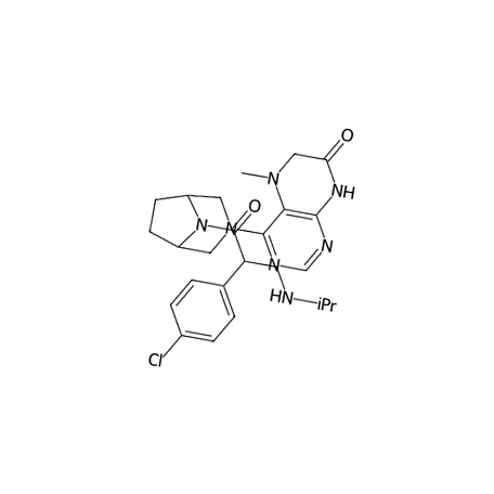 CC(C)NCC(C(=O)N1C2CCC1CN(c1ncnc3c1N(C)CC(=O)N3)C2)c1ccc(Cl)cc1